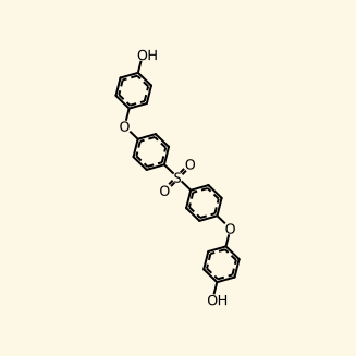 O=S(=O)(c1ccc(Oc2ccc(O)cc2)cc1)c1ccc(Oc2ccc(O)cc2)cc1